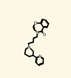 O=C1c2ccccc2OC=CN1CCCCN1CCCC(c2ccccn2)C1